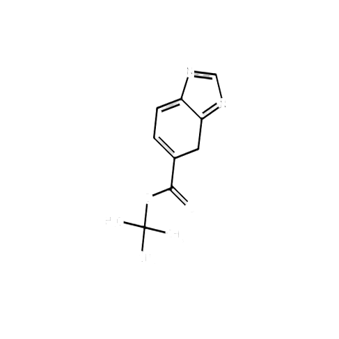 CC(C)(C)OC(=O)C1=CC=C2N=CN=C2C1